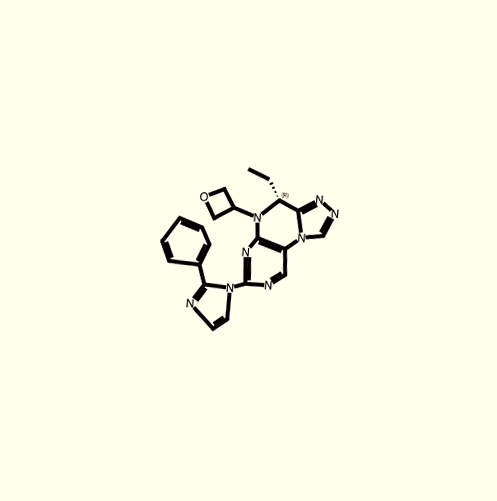 CC[C@@H]1c2nncn2-c2cnc(-n3ccnc3-c3ccccc3)nc2N1C1COC1